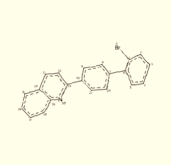 Brc1ccccc1-c1ccc(-c2ccc3ccccc3n2)cc1